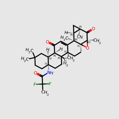 CC1(C)CC[C@]2(NC(=O)C(C)(F)F)CC[C@]3(C)[C@H](C(=O)C=C4[C@@]5(C)[C@H]6C[C@@]6(C#N)C(=O)[C@@]6(C)O[C@@]56CC[C@]43C)[C@@H]2C1